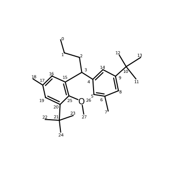 CCCC(c1cc(C)cc(C(C)(C)C)c1)c1cc(C)cc(C(C)(C)C)c1OC